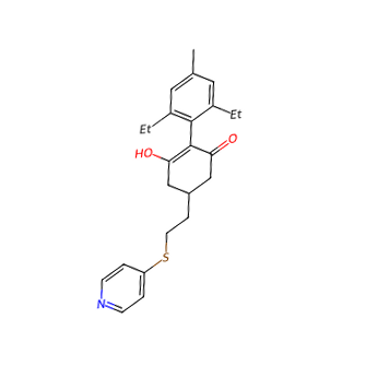 CCc1cc(C)cc(CC)c1C1=C(O)CC(CCSc2ccncc2)CC1=O